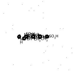 COc1cc(/N=N/c2ccc(S(=O)(=O)O)cc2)c(C)cc1/N=N/c1cc(OC)c(/N=N/c2c(S(=O)(=O)O)cc3cc(Nc4ccccc4)ccc3c2O)cc1C